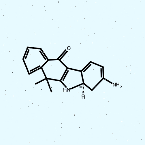 CC1(C)C2=C(C(=O)c3ccccc31)C1=CC=C(N)C[C@H]1N2